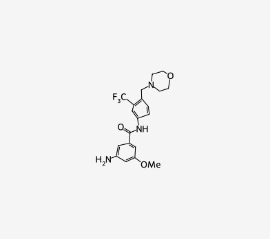 COc1cc(N)cc(C(=O)Nc2ccc(CN3CCOCC3)c(C(F)(F)F)c2)c1